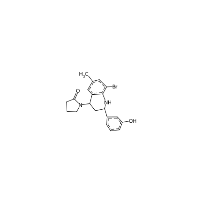 Cc1cc(Br)c2c(c1)C(N1CCCC1=O)CC(c1cccc(O)c1)N2